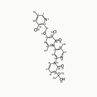 Cc1cnc(COc2cc(C)n(-c3cc(-n4cccc(C(C)(C)O)c4=O)ncc3C)c(=O)c2Cl)c(Cl)c1